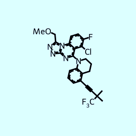 COCc1nnc2nc(N3CCCc4c(C#CC(C)(C)C(F)(F)F)cccc43)c3c(Cl)c(F)ccc3n12